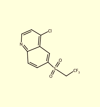 O=S(=O)(CC(F)(F)F)c1ccc2nccc(Cl)c2c1